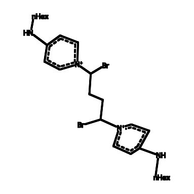 CCCCCCNc1cc[n+](C(Br)CCC(Br)[n+]2ccc(NCCCCCC)cc2)cc1